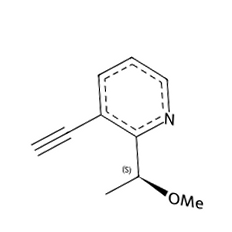 C#Cc1cccnc1[C@H](C)OC